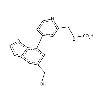 O=C(O)NCc1cc(-c2cc(CO)cc3ccoc23)ccn1